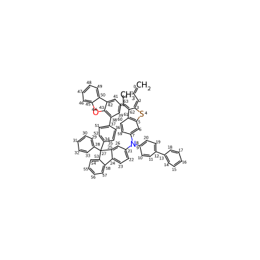 C=C/C=c1/sc2cc(N(c3ccc(-c4ccccc4)cc3)c3ccc4c(c3)C(c3ccccc3)(c3ccc(-c5cccc6c5oc5ccccc56)cc3)c3ccccc3-4)ccc2/c1=C/C